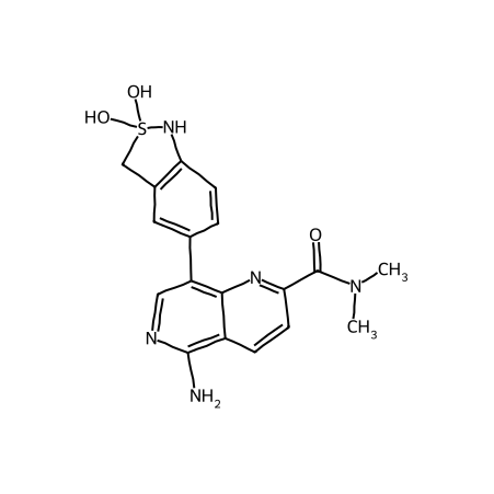 CN(C)C(=O)c1ccc2c(N)ncc(-c3ccc4c(c3)CS(O)(O)N4)c2n1